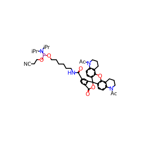 CC(=O)N1CCCc2c1ccc1c2Oc2c(ccc3c2CCCN3C(C)=O)C12OC(=O)c1ccc(C(=O)NCCCCCCOP(OCCC#N)N(C(C)C)C(C)C)cc12